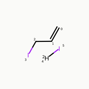 C=CCI.[2H]I